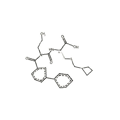 CCCN(C(=O)N[C@@H](CSCC1CCC1)C(=O)O)C(=O)c1cccc(-c2ccccc2)c1